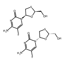 Nc1nc(=O)n([C@@H]2CS[C@H](CO)O2)cc1F.Nc1nc(=O)n([C@H]2CS[C@@H](CO)O2)cc1F